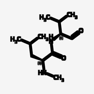 CN[C@@H](CC(C)C)C(=O)N[C@H](C=O)C(C)C